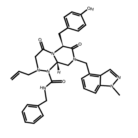 C=CCN1CC(=O)N2[C@@H](Cc3ccc(O)cc3)C(=O)N(Cc3cccc4c3cnn4C)C[C@@H]2N1C(=O)NCc1ccccc1